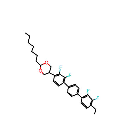 CCCCCCCC1OCC(c2ccc(-c3ccc(-c4ccc(CC)c(F)c4F)cc3)c(F)c2F)CO1